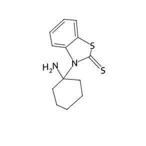 NC1(n2c(=S)sc3ccccc32)CCCCC1